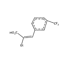 CCC(=Cc1cccc(C(F)(F)F)c1)C(=O)O